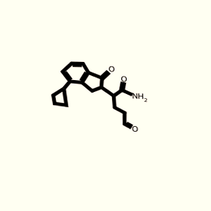 NC(=O)C(CCC=O)C1Cc2c(cccc2C2CCC2)C1=O